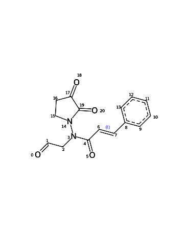 O=[C]CN(C(=O)/C=C/c1ccccc1)N1CCC(=O)C1=O